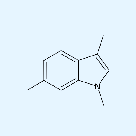 Cc1cc(C)c2c(C)cn(C)c2c1